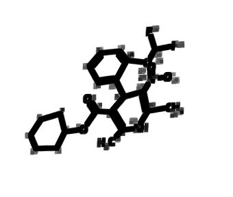 CC1=C(C(=O)OC2CCCCC2)C(c2ccccc2OC(F)F)C([N+](=O)[O-])=C(C)N1